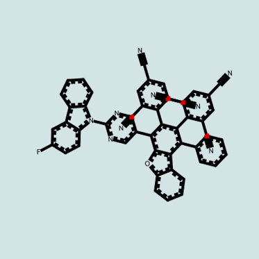 N#Cc1cc(C#N)c(-c2c(-c3c(C#N)cc(C#N)cc3C#N)c(-c3ccccc3)c3c(oc4ccccc43)c2-c2cnc(-n3c4ccccc4c4cc(F)ccc43)nc2)c(C#N)c1